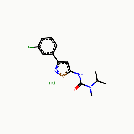 CC(C)N(C)C(=O)Nc1cc(-c2cccc(F)c2)ns1.Cl